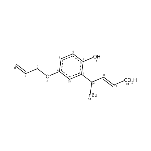 C=CCOc1ccc(O)c(C(C=CC(=O)O)CCCC)c1